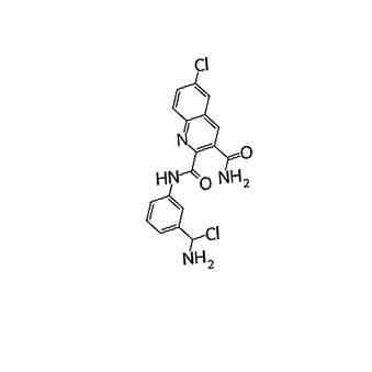 NC(=O)c1cc2cc(Cl)ccc2nc1C(=O)Nc1cccc(C(N)Cl)c1